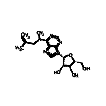 C=C(C)CN(C)c1ncnc2c1ncn2[C@@H]1O[C@H](CO)[C@@H](O)[C@H]1O